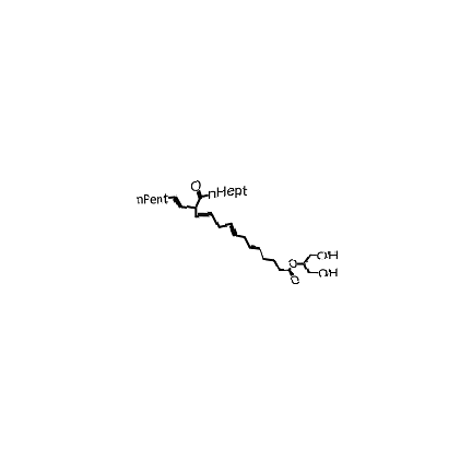 CCCCCC=CC(C=CCC=CCC=CCCCC(=O)OC(CO)CO)C(=O)CCCCCCC